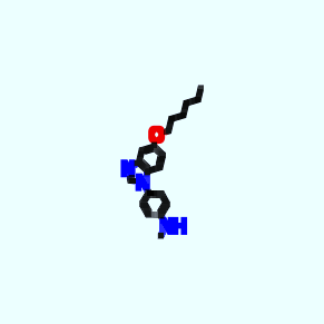 CCCCCCOc1ccc2c(c1)ncn2-c1ccc(NC)cc1